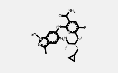 CCCn1nc(C)c2ccc(Nc3nc(N[C@H](CC4CC4)[C@H](C)N)c(F)cc3C(N)=O)cc21